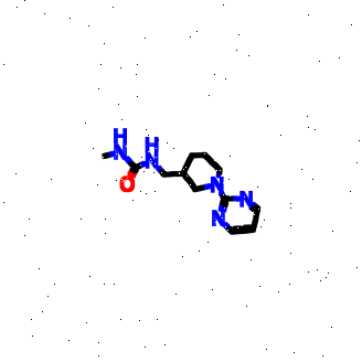 CNC(=O)NCC1CCCN(c2ncccn2)C1